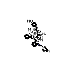 CC(O)[C@@H](NC(=O)[C@@H](N)Cc1ccc(O)cc1)C(=O)N[C@@H](Cc1c[nH]c2ccccc12)C(=O)c1ccccc1/C=C/CN1CCNCC1